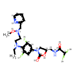 CCN(CCN(Cc1ccccn1)OC)c1c(F)cc(N2C[C@H](CNC(=O)C(F)F)OC2=O)cc1F